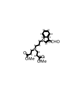 COC(=O)CCN(CCCn1cc(C=O)c2ccccc21)CCC(=O)OC